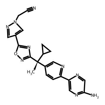 C[C@@](c1ccc(-c2cnc(N)cn2)nc1)(c1noc(-c2cnn(CC#N)c2)n1)C1CC1